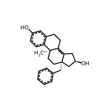 C[C@@]12CC[C@]3(Cc4ccccc4)C[C@H](O)CC3=C1CCc1cc(O)ccc12